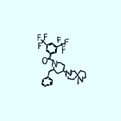 CN1CCCC12CCN(C1CCN(C(=O)c3cc(C(F)(F)F)cc(C(F)(F)F)c3)C(Cc3ccccc3)C1)C2